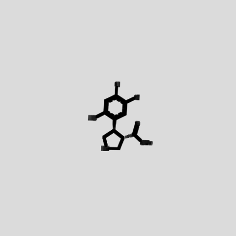 COC(=O)[C@@H]1CNC[C@H]1c1cc(Cl)c(Cl)cc1O